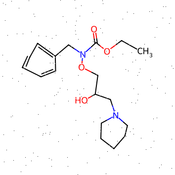 CCOC(=O)N(Cc1ccccc1)OCC(O)CN1CCCCC1